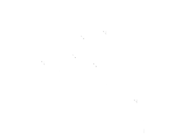 F[C@H]1CCN(c2ccc(-c3cc4nccnc4c(NCC4CNCCO4)n3)cc2)C1